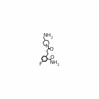 NCC1CCN(C(=O)[CH]Cc2ccc(F)cc2C(N)=O)CC1